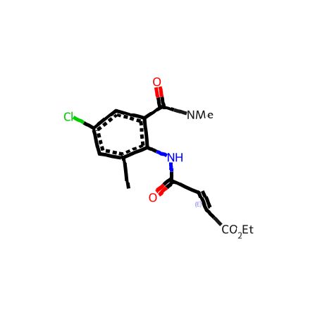 CCOC(=O)/C=C/C(=O)Nc1c(C)cc(Cl)cc1C(=O)NC